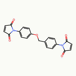 O=C1C=CC(=O)N1c1ccc(COc2ccc(N3C(=O)C=CC3=O)cc2)cc1